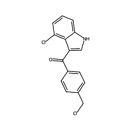 O=C(c1ccc(CCl)cc1)c1c[nH]c2cccc(Cl)c12